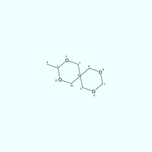 CC1OCC2(COCOC2)CO1